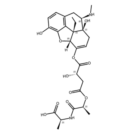 CC[C@]12c3c4ccc(O)c3O[C@H]1C(OC(=O)[C@@H](O)CC(=O)O[C@@H](C)C(=O)N[C@@H](C)C(=O)O)=CC[C@@]2(O)[C@H](NC)C4